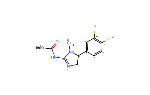 CC(C)COC(=O)NC1=NCC(c2ccc(F)c(F)c2)N1C